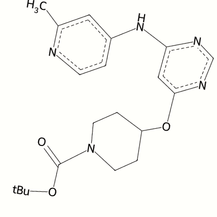 Cc1cc(Nc2cc(OC3CCN(C(=O)OC(C)(C)C)CC3)ncn2)ccn1